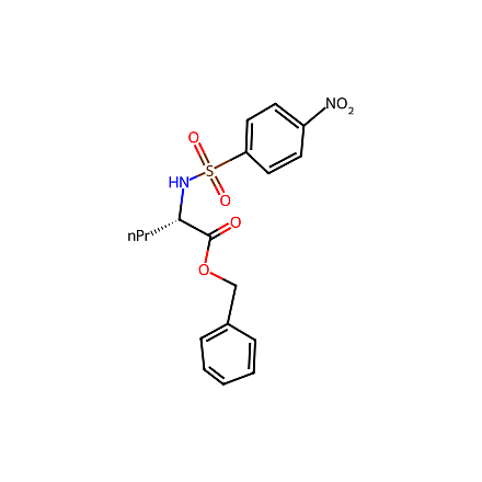 CCC[C@H](NS(=O)(=O)c1ccc([N+](=O)[O-])cc1)C(=O)OCc1ccccc1